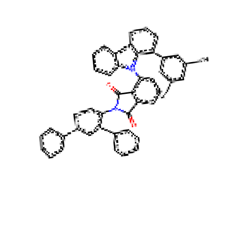 N#Cc1cc(C#N)cc(-c2cccc3c4ccccc4n(-c4cccc5c4C(=O)N(c4ccc(-c6ccccc6)cc4-c4ccccc4)C5=O)c23)c1